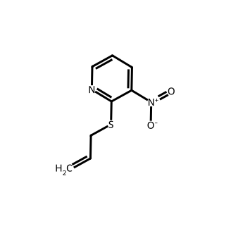 C=CCSc1ncccc1[N+](=O)[O-]